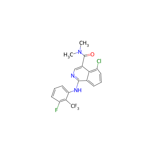 CN(C)C(=O)c1cnc(Nc2cccc(F)c2C(F)(F)F)c2cccc(Cl)c12